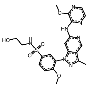 COc1ccc(S(=O)(=O)NCCO)cc1-n1nc(C)c2cnc(Nc3nccnc3OC)cc21